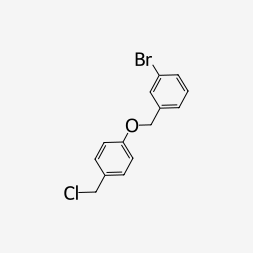 ClCc1ccc(OCc2cccc(Br)c2)cc1